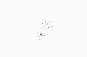 Cl.N=C(N)Nc1ccc(C(=O)Oc2ccccc2)cc1